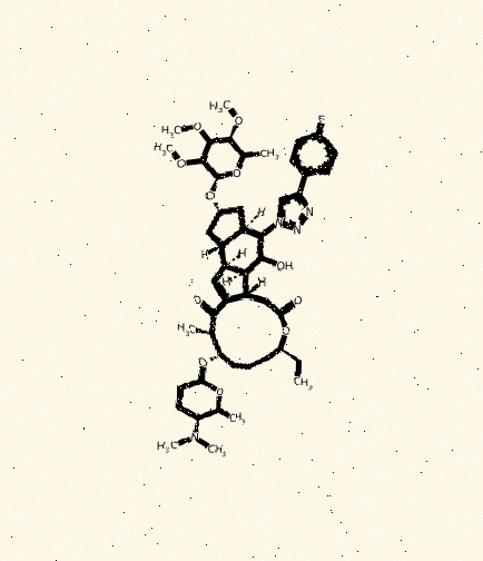 CC[C@H]1CCC[C@H](OC2CC[C@H](N(C)C)C(C)O2)[C@@H](C)C(=O)C2=C[C@H]3[C@@H]4C[C@H](O[C@@H]5OC(C)[C@H](OC)C(OC)C5OC)C[C@H]4C(n4cc(-c5ccc(F)cc5)nn4)C(O)[C@H]3[C@@H]2CC(=O)O1